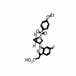 CCOc1ccc(S(=O)(=O)N2C[C@H](n3nc(CC(=O)O)c4ccc(F)cc43)[C@H]3C[C@H]32)cc1